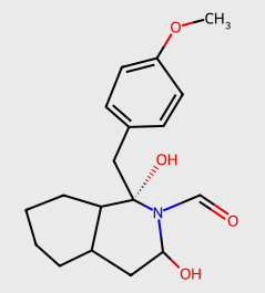 COc1ccc(C[C@]2(O)C3CCCCC3CC(O)N2C=O)cc1